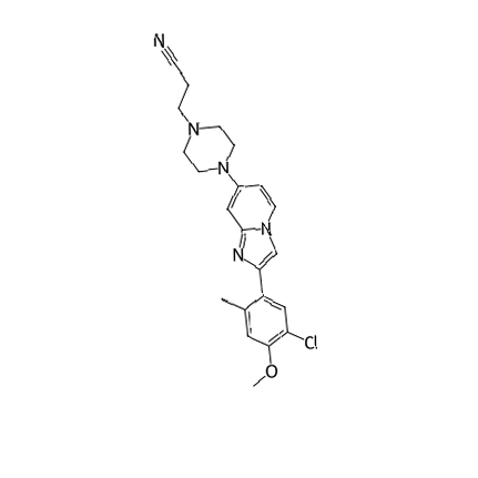 COc1cc(C)c(-c2cn3ccc(N4CCN(CCC#N)CC4)cc3n2)cc1Cl